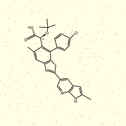 Cc1cc2cc(-c3nc4cc(C)c([C@H](OC(C)(C)C)C(=O)O)c(-c5ccc(Cl)cc5)c4s3)cnc2[nH]1